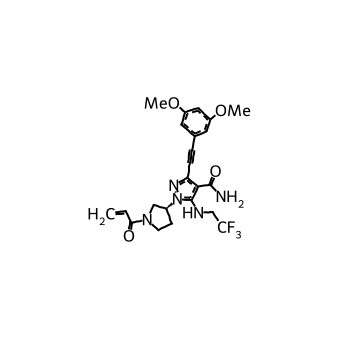 C=CC(=O)N1CC[C@H](n2nc(C#Cc3cc(OC)cc(OC)c3)c(C(N)=O)c2NCC(F)(F)F)C1